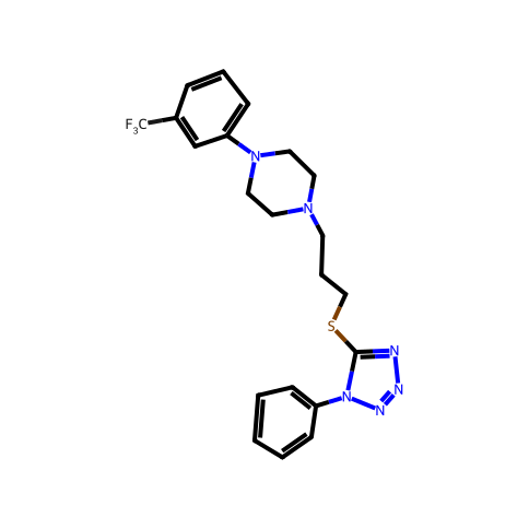 FC(F)(F)c1cccc(N2CCN(CCCSc3nnnn3-c3ccccc3)CC2)c1